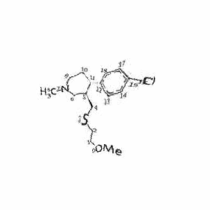 COCCSC[C@H]1CN(C)CC[C@@H]1c1ccc(Cl)cc1